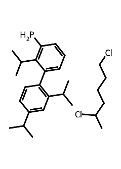 CC(C)c1ccc(-c2cccc(P)c2C(C)C)c(C(C)C)c1.CC(Cl)CCCCCl